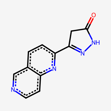 O=C1CC(c2ccc3cnccc3n2)=NN1